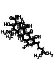 CN(C)CCCc1cc(F)c2c(c1O)C(=O)C1=C(O)[C@]3(O)C(=O)C(C(N)=O)=C(O)[C@@H](N(C)C)[C@@H]3C[C@@H]1C2